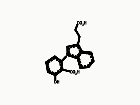 O=C(O)CCc1cn(-c2cccc(O)c2C(=O)O)c2ccccc12